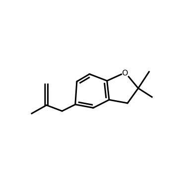 C=C(C)Cc1ccc2c(c1)CC(C)(C)O2